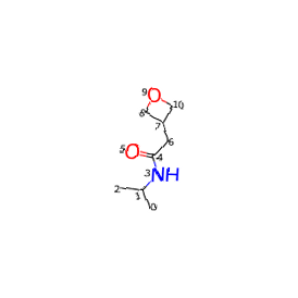 CC(C)NC(=O)CC1COC1